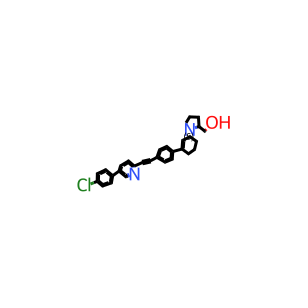 OCC1CCCN1[C@@H]1C=C(c2ccc(C#Cc3ccc(-c4ccc(Cl)cc4)cn3)cc2)CCC1